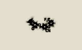 N#Cc1cc(COc2cc3n(c(=O)n2)CC24CC2=CN34)ccc1Oc1ccnc(C(F)(F)F)c1